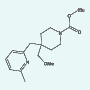 COCC1(Cc2cccc(C)n2)CCN(C(=O)OC(C)(C)C)CC1